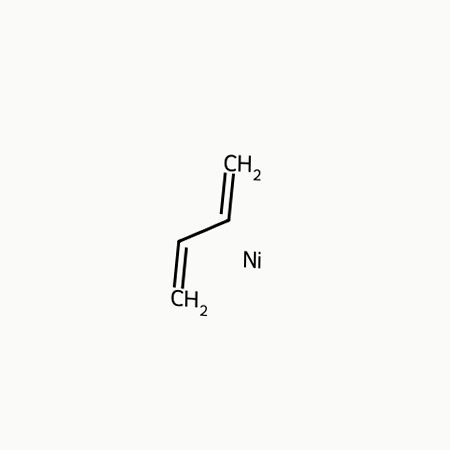 C=CC=C.[Ni]